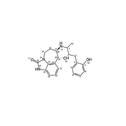 CC(CCc1ccccc1O)N[C@@H]1CCn2c(=O)[nH]c3cccc(c32)[C@H]1O